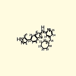 Cc1[nH]ncc1-c1ccc2nc(Nc3cc(CN4CCCCCC4)ccn3)sc2c1